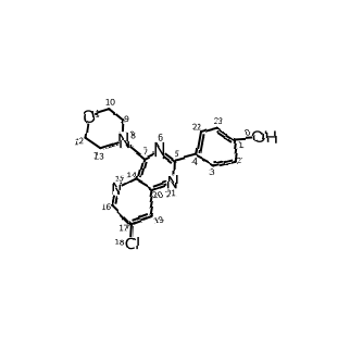 Oc1ccc(-c2nc(N3CCOCC3)c3ncc(Cl)cc3n2)cc1